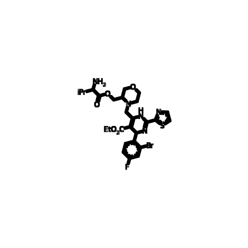 CCOC(=O)C1=C(CN2CCOCC2COC(=O)C(N)C(C)C)NC(c2nccs2)=NC1c1ccc(F)cc1Br